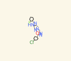 Fc1ccccc1-c1nc2c([nH]1)C=NN(Cc1nnc(-c3ccc(Cl)cc3)o1)C2